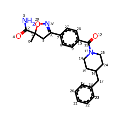 CC1(C(N)=O)CC(c2ccc(C(=O)N3CCC(Cc4ccccc4)CC3)cc2)=NO1